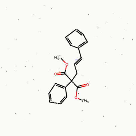 COC(=O)C(C/C=C/c1ccccc1)(C(=O)OC)c1ccccc1